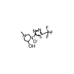 CN1CC(O)[N+]([O-])(c2nnc(C(F)(F)F)s2)C1